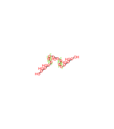 OCCOCC(O)COCC(O)COCC(F)(F)OC(F)(F)OC(F)(F)C(F)(F)OC(F)(F)COCC(O)COCC(F)(F)OC(F)(F)OC(F)(F)C(F)(F)OC(F)(F)COCC(O)COCC(O)COCCO